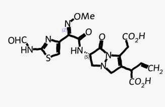 C=CC(C(=O)O)C1=C(CC(=O)O)N2C(=O)[C@@H](NC(=O)/C(=N\OC)c3csc(NC=O)n3)CN2C1